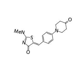 CNC1=NC(=O)C(=Cc2ccc(N3CCC(=O)CC3)cc2)S1